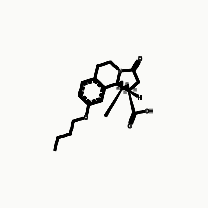 CCCCOc1ccc2c(c1)[C@@]13C[C@H](C)[C@@H](C(=O)O)[C@@H]1CC(=O)N3CC2